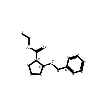 CCOC(=O)[C@@H]1CCC[C@@H]1OCc1ccccc1